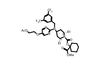 CC[C@@H]1CC(N(Cc2cc(C(F)(F)F)cc(C(F)(F)F)c2)c2ncc(OCCOC(C)=O)cn2)C[C@H](CC)N1C(=O)OC1(C(=O)OC)CCCCC1